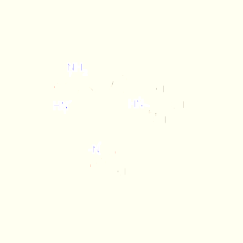 CCS(=O)(=O)N1CCC(c2c[nH]c3c(C(N)=O)cc(-c4csc(CN[C@H](C)C(C)C)c4)cc23)CC1